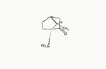 C[C@@H]1C2CC[C@]1(CS(=O)(=O)O)C(=O)C2